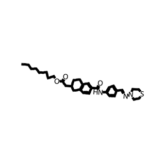 CCCCCCCCOC(=O)CC1CCc2cc(C(=O)Nc3ccc(C=NN4CCSCC4)cc3)ccc2C1